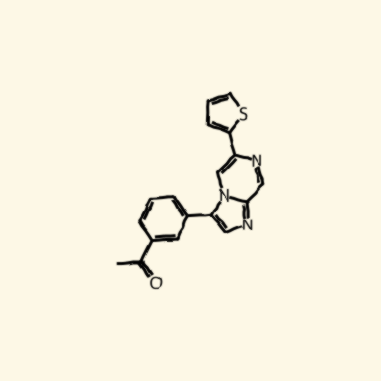 CC(=O)c1cccc(-c2cnc3cnc(-c4cccs4)cn23)c1